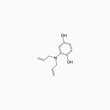 C=CCN(CC=C)c1cc(O)ccc1O